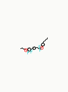 CCCCCc1ccc(OC(F)(F)CCc2ccc(-c3ccc(OCCCC)c(F)c3F)cc2)cc1